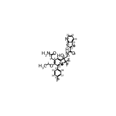 CCOc1c(CC(N)=O)cc([C@@](O)(CNC(=O)c2nc3cccnc3s2)C(F)(F)F)nc1-c1ccc(F)cc1